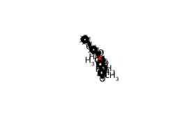 CN1C(=O)C=C[C@]2(C)[C@H]3CC[C@]4(C)C(NC(=O)c5ccc(OCc6ccccc6)cc5)CC[C@H]4[C@@H]3CC[C@@H]12